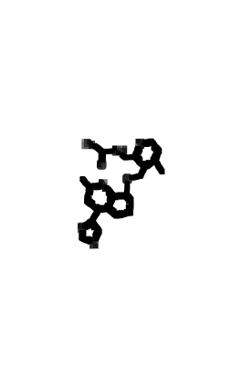 Cc1cc(-c2cncs2)c2cccc(OCc3c(C)ccnc3CNC(=O)C(C)C)c2n1